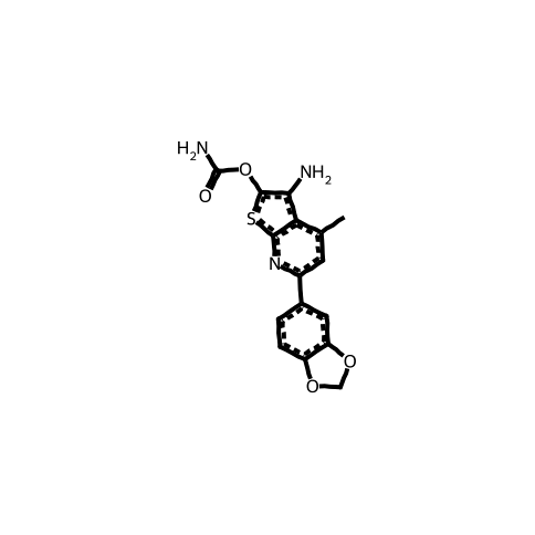 Cc1cc(-c2ccc3c(c2)OCO3)nc2sc(OC(N)=O)c(N)c12